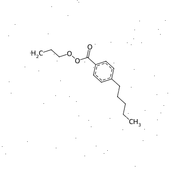 [CH2]CCOOC(=O)c1ccc(CCCCC)cc1